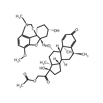 CC(=O)OCC(=O)[C@@]1(O)CC[C@H]2[C@@H]3C[C@H](C)C4=CC(=O)C=C[C@]4(C)[C@H]3[C@@H](O)C[C@@]21C.COc1ccc2c3c1O[C@H]1C[C@@H](O)CC[C@@]31CCN(C)C2